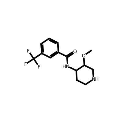 COC1CNCCC1NC(=O)c1cccc(C(F)(F)F)c1